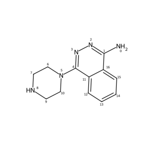 Nc1nnc(N2CCNCC2)c2ccccc12